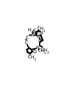 CCC1c2cc3nc(C)c(C)c(n3n2)N(C)CCCCCc2ccc(C)cc2C(=O)N1C